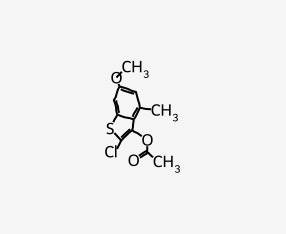 COc1cc(C)c2c(OC(C)=O)c(Cl)sc2c1